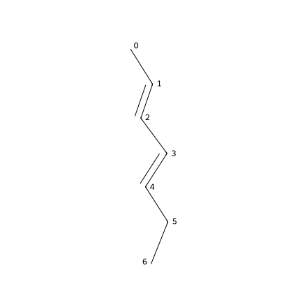 C/C=C/C=CCC